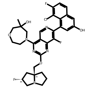 CC1(O)COCCN(c2nc(OC[C@@]34CCCN3C[C@H](F)C4)nc3c(F)c(-c4cc(O)cc5ccc(F)c(Cl)c45)ncc23)C1